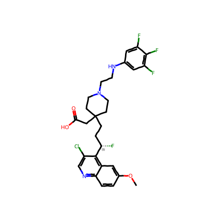 COc1ccc2ncc(Cl)c([C@@H](F)CCC3(CC(=O)O)CCN(CCNc4cc(F)c(F)c(F)c4)CC3)c2c1